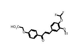 CCOc1cc(/C=C/C(=O)c2ccc(OCC(=O)O)cc2)ccc1OC(F)F